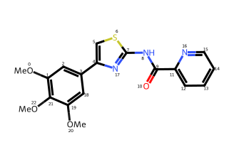 COc1cc(-c2csc(NC(=O)c3ccccn3)n2)cc(OC)c1OC